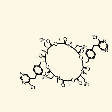 CCc1ncncc1Cc1ccc(C[C@H]2OC(=O)[C@H](CC(C)C)N(C)C(=O)[C@@H](C)OC(=O)[C@H](CC(C)C)N(C)C(=O)[C@@H](Cc3ccc(Cc4cncnc4CC)cc3)OC(=O)[C@H](CC(C)C)N(C)C(=O)[C@@H](C)OC(=O)[C@H](CC(C)C)N(C)C2=O)cc1